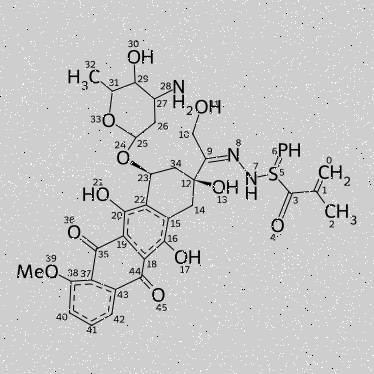 C=C(C)C(=O)S(=P)N/N=C(/CO)[C@]1(O)Cc2c(O)c3c(c(O)c2[C@@H](OC2CC(N)C(O)C(C)O2)C1)C(=O)c1c(OC)cccc1C3=O